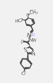 COc1ccc(/C=N/NC(=O)c2cnc(-c3ccc(Cl)cc3)s2)cc1O